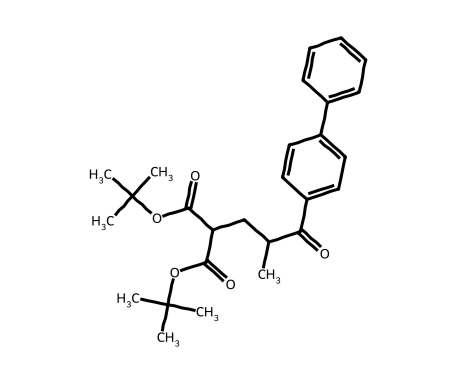 CC(CC(C(=O)OC(C)(C)C)C(=O)OC(C)(C)C)C(=O)c1ccc(-c2ccccc2)cc1